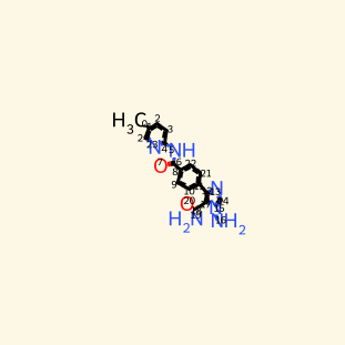 Cc1ccc(NC(=O)c2ccc(-c3ncn(N)c3C(N)=O)cc2)nc1